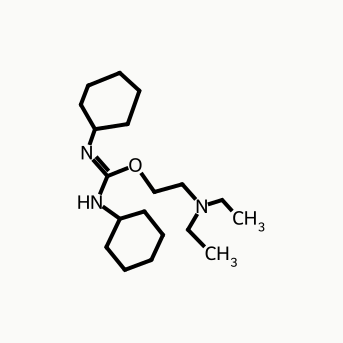 CCN(CC)CCO/C(=N\C1CCCCC1)NC1CCCCC1